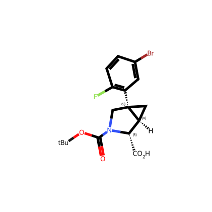 CC(C)(C)OC(=O)N1C[C@@]2(c3cc(Br)ccc3F)C[C@H]2[C@@H]1C(=O)O